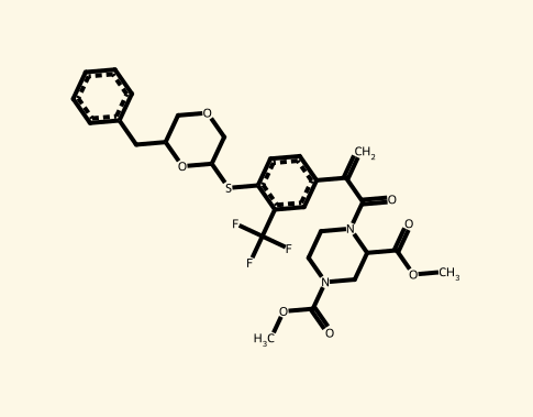 C=C(C(=O)N1CCN(C(=O)OC)CC1C(=O)OC)c1ccc(SC2COCC(Cc3ccccc3)O2)c(C(F)(F)F)c1